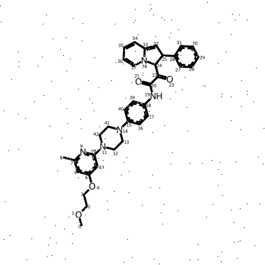 COCCOc1cc(C)nc(N2CCN(c3ccc(NC(=O)C(=O)C4C(c5ccccc5)C=C5C=CC=CN54)cc3)CC2)c1